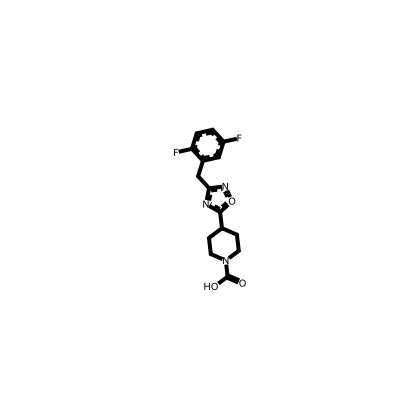 O=C(O)N1CCC(c2nc(Cc3cc(F)ccc3F)no2)CC1